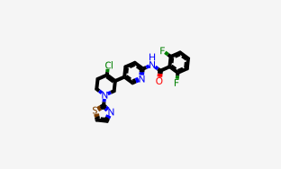 O=C(Nc1ccc(C2=C(Cl)CCN(c3nccs3)C2)cn1)c1c(F)cccc1F